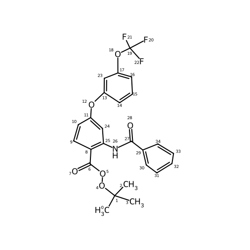 CC(C)(C)OOC(=O)c1ccc(Oc2cccc(OC(F)(F)F)c2)cc1NC(=O)c1ccccc1